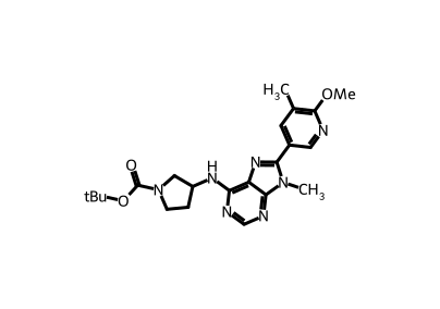 COc1ncc(-c2nc3c(NC4CCN(C(=O)OC(C)(C)C)C4)ncnc3n2C)cc1C